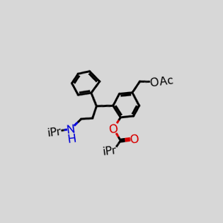 CC(=O)OCc1ccc(OC(=O)C(C)C)c(C(CCNC(C)C)c2ccccc2)c1